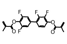 C=C(C)C(=O)Oc1ccc(-c2cc(F)c(OC(=O)C(=C)C)c(F)c2)c(F)c1F